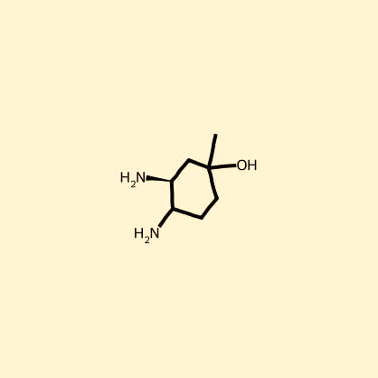 CC1(O)CCC(N)[C@@H](N)C1